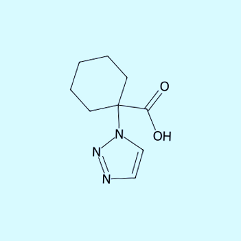 O=C(O)C1(n2ccnn2)CCCCC1